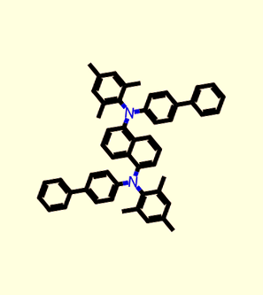 Cc1cc(C)c(N(c2ccc(-c3ccccc3)cc2)c2cccc3c(N(c4ccc(-c5ccccc5)cc4)c4c(C)cc(C)cc4C)cccc23)c(C)c1